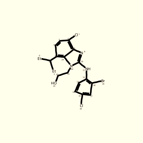 CCC(CC)c1ccc(Cl)c2nc(Nc3ccc(Cl)cc3Br)n(CCO)c12